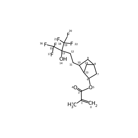 C=C(C)C(=O)OC1CC2CC(CCC(O)(C(F)(F)F)C(F)(F)F)C1C2